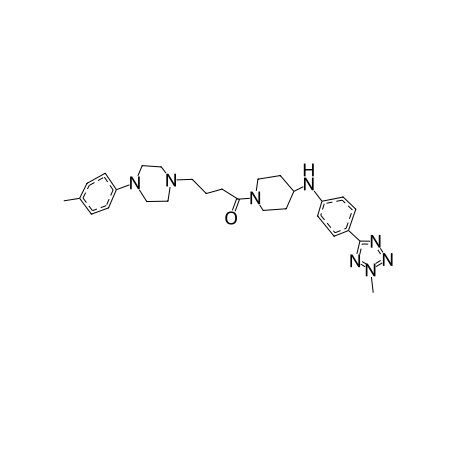 Cc1ccc(N2CCN(CCCC(=O)N3CCC(Nc4ccc(-c5nnn(C)n5)cc4)CC3)CC2)cc1